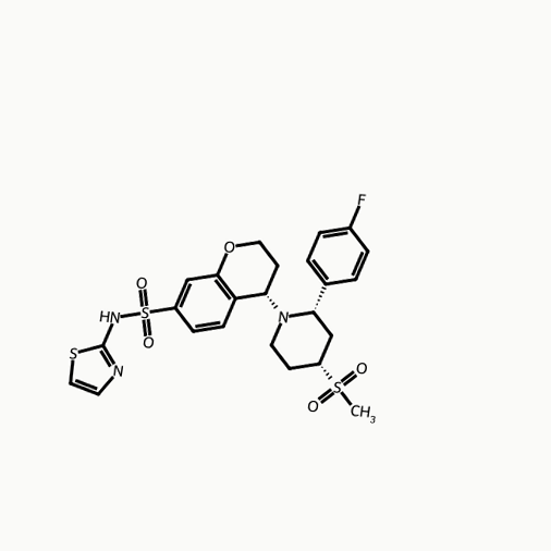 CS(=O)(=O)[C@@H]1CCN([C@H]2CCOc3cc(S(=O)(=O)Nc4nccs4)ccc32)[C@H](c2ccc(F)cc2)C1